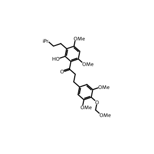 COCOc1c(OC)cc(CCC(=O)c2c(OC)cc(OC)c(CCC(C)C)c2O)cc1OC